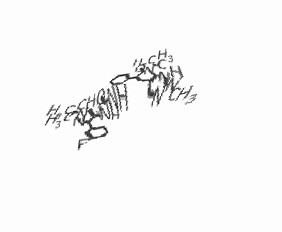 CNc1ncc2cc(-c3cccc(NC(=O)Nc4cn(C(C)(C)C)nc4-c4cccc(F)c4)c3)c(=O)n(C(C)C)c2n1